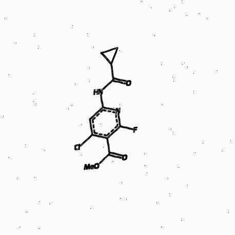 COC(=O)c1c(Cl)cc(NC(=O)C2CC2)nc1F